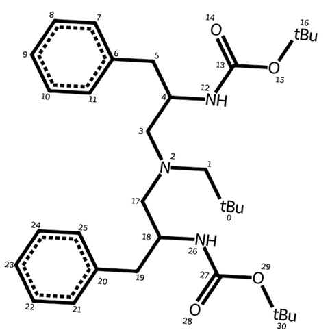 CC(C)(C)CN(CC(Cc1ccccc1)NC(=O)OC(C)(C)C)CC(Cc1ccccc1)NC(=O)OC(C)(C)C